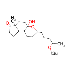 CC(CCCC1CCC2C3CCC(=O)C3(C)CCC2(O)O1)OC(C)(C)C